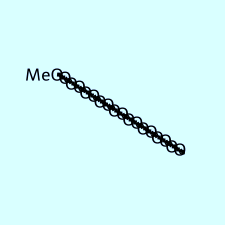 C=COCCOCCOCCOCCOCCOCCOCCOCCOCCOCCOCCOCCOCCOCCOCCOCCOCCOC